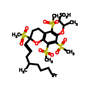 CC(C)CCCC(C)CC=CC1(S(C)(=O)=O)CCc2c(c(S(C)(=O)=O)c(S(C)(=O)=O)c(OC(C)CS(=O)(=O)O)c2S(C)(=O)=O)O1